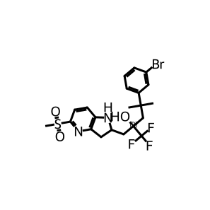 CC(C)(C[C@@](O)(CC1Cc2nc(S(C)(=O)=O)ccc2N1)C(F)(F)F)c1cccc(Br)c1